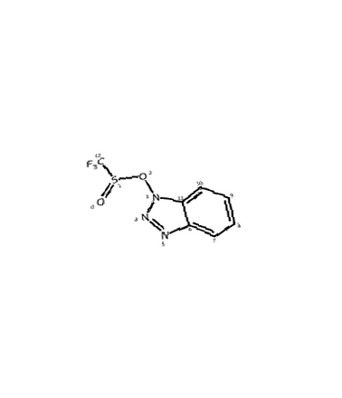 O=S(On1nnc2ccccc21)C(F)(F)F